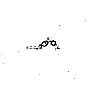 CCOC(=O)CN1CC2(CC3CCC(C2)N3[S+]([O-])c2ccc(OC(F)F)cc2)C1